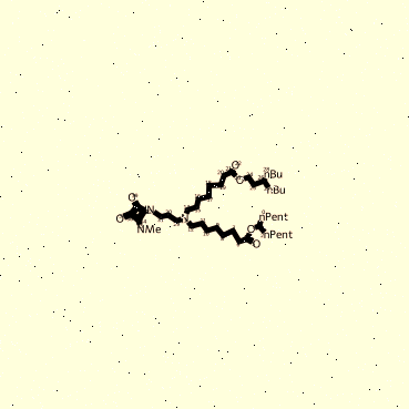 CCCCCC(CCCCC)OC(=O)CCCCCCCN(CCCCCCCC(=O)OCCC(CCCC)CCCC)CCCNc1c(NC)c(=O)c1=O